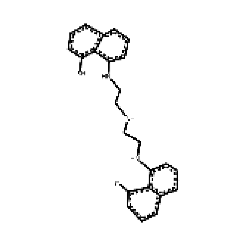 Sc1cccc2cccc(NCCNCCNc3cccc4cccc(Cl)c34)c12